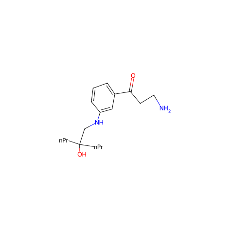 CCCC(O)(CCC)CNc1cccc(C(=O)CCN)c1